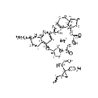 C=C[C@@H]1C[C@]1(NC(=O)[C@@H]1C[C@@H](Oc2cc(-c3nc4c(s3)CCCC4)nc3cc(OC)ccc23)CN1C(=O)[C@@H](NC(=O)OC1CCCC1)C(C)C)C(=O)O